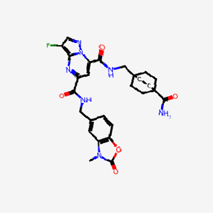 Cn1c(=O)oc2ccc(CNC(=O)c3cc(C(=O)NCC45CCC(C(N)=O)(CC4)CC5)n4ncc(F)c4n3)cc21